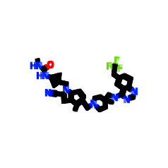 CNC(=O)NC12CC(Cn3c(C#N)cc4c(C)c(CN5CCC6(CC5)CN(c5ncnc7ccc(CC(F)(F)F)cc57)C6)ccc43)(C1)C2